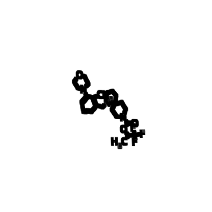 Cc1c(CN2CCCC23CCN(C(=O)OC(C)C(F)(F)F)CC3)cccc1N1CCOCC1